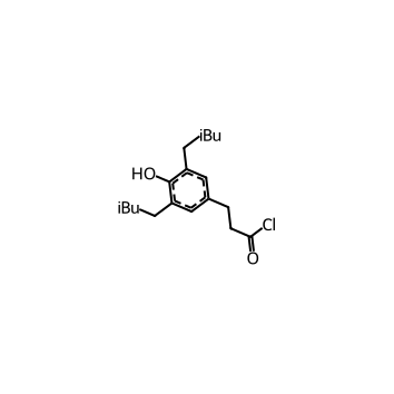 CCC(C)Cc1cc(CCC(=O)Cl)cc(CC(C)CC)c1O